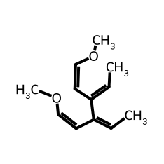 CC=C(/C=C\OC)C(/C=C\OC)=C/C